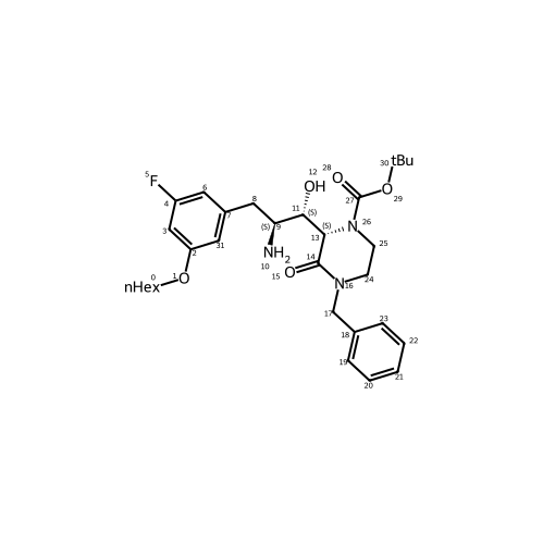 CCCCCCOc1cc(F)cc(C[C@H](N)[C@H](O)[C@H]2C(=O)N(Cc3ccccc3)CCN2C(=O)OC(C)(C)C)c1